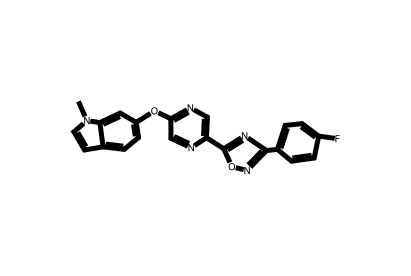 Cn1[c]cc2ccc(Oc3cnc(-c4nc(-c5ccc(F)cc5)no4)cn3)cc21